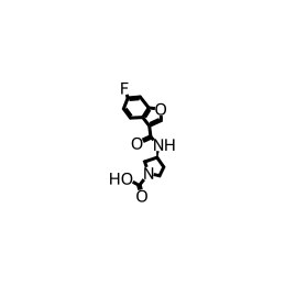 O=C(N[C@H]1CCN(C(=O)O)C1)c1coc2cc(F)ccc12